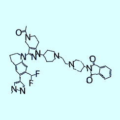 CC(=O)N1CCc2c(c(N3CCCc4cc(-c5cnn(C)c5)c(C(F)F)cc43)nn2C2CCN(CCN3CCC(N4C(=O)c5ccccc5C4=O)CC3)CC2)C1